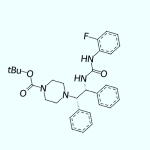 CC(C)(C)OC(=O)N1CCN([C@@H](c2ccccc2)[C@H](NC(=O)Nc2ccccc2F)c2ccccc2)CC1